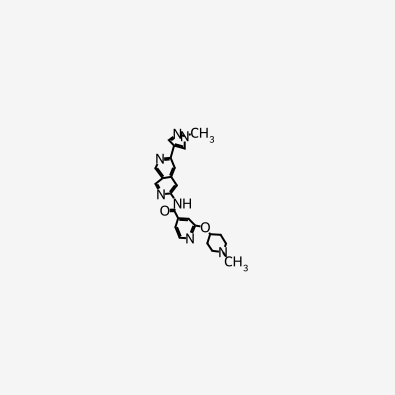 CN1CCC(Oc2cc(C(=O)Nc3cc4cc(-c5cnn(C)c5)ncc4cn3)ccn2)CC1